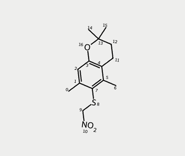 Cc1cc2c(c(C)c1SC[N+](=O)[O-])CCC(C)(C)O2